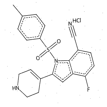 Cc1ccc(S(=O)(=O)n2c(C3=CCNCC3)cc3c(F)ccc(C#N)c32)cc1.Cl